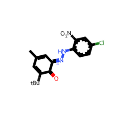 CC1=C/C(=N\Nc2ccc(Cl)cc2[N+](=O)[O-])C(=O)C(C(C)(C)C)=C1